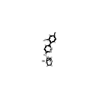 Cc1ccc(-c2ccc(O[C@@H]3CN4CC[C@@H]3C4)nn2)c(F)c1